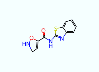 O=C(Nc1nc2ccccc2s1)C1=CCNO1